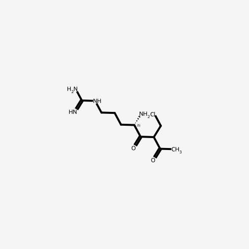 CC(=O)C(CCl)C(=O)[C@@H](N)CCCNC(=N)N